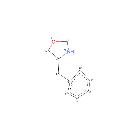 c1ccc(CC2COCN2)cc1